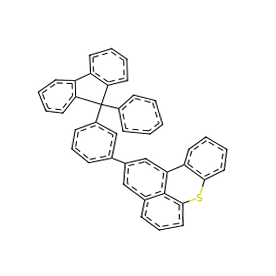 c1ccc(C2(c3cccc(-c4cc5c6c(cccc6c4)Sc4ccccc4-5)c3)c3ccccc3-c3ccccc32)cc1